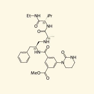 CCNC(=O)[C@@H](NC(=O)[C@H](C)NC[C@H](Cc1ccccc1)NC(=O)c1cc(C(=O)OC)cc(N2CCCNC2=O)c1)C(C)C